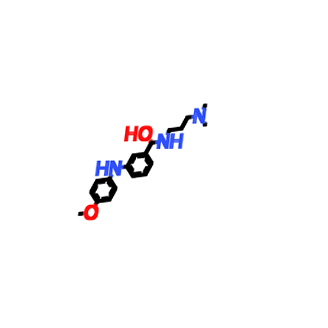 COc1ccc(Nc2cccc(C(O)NCCCN(C)C)c2)cc1